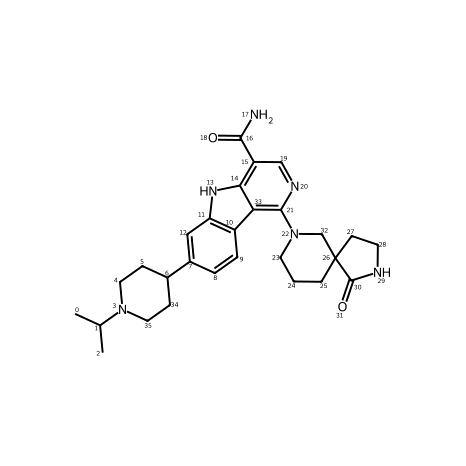 CC(C)N1CCC(c2ccc3c(c2)[nH]c2c(C(N)=O)cnc(N4CCCC5(CCNC5=O)C4)c23)CC1